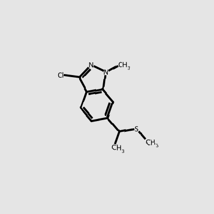 CSC(C)c1ccc2c(Cl)nn(C)c2c1